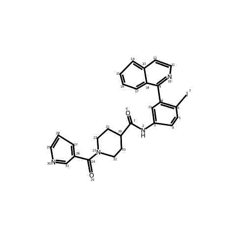 O=C(Nc1ccc(I)c(-c2nccc3ccccc23)c1)C1CCN(C(=O)c2cccnc2)CC1